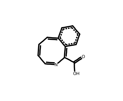 O=C(O)C1=c2ccccc2=CC=CC=N1